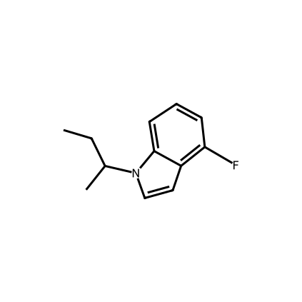 CCC(C)n1ccc2c(F)cccc21